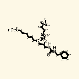 CCCCCCCCCCCCCCCCOCC(CNC(=O)NCc1ccccc1)OP(=O)([O-])OCC[N+](C)(C)C